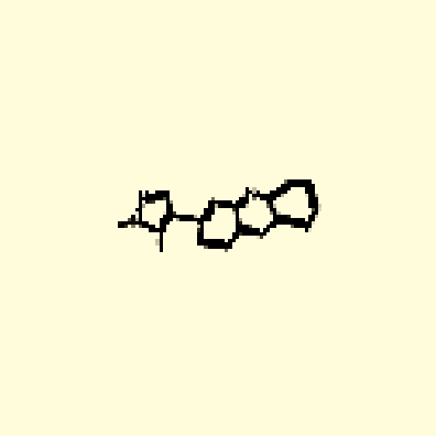 Cc1c(-c2ccc3cc4ccccc4nc3c2)cnn1C